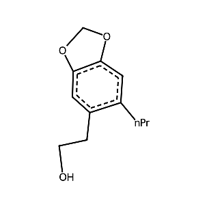 CCCc1cc2c(cc1CCO)OCO2